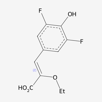 CCO/C(=C\c1cc(F)c(O)c(F)c1)C(=O)O